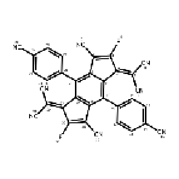 N#CC(C#N)=C1C(F)=C(C#N)c2c1c(-c1ccc(C#N)cc1)c1c(c2-c2ccc(C#N)cc2)C(=C(C#N)C#N)C(F)=C1C#N